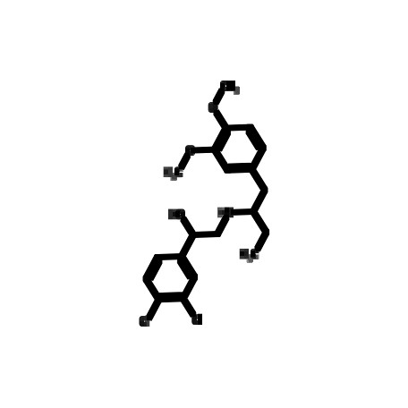 CCC(Cc1ccc(OC)c(OC)c1)NCC(O)c1ccc(Cl)c(Cl)c1